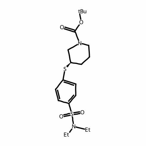 CCN(CC)S(=O)(=O)c1ccc(S[C@@H]2CCCN(C(=O)OC(C)(C)C)C2)cc1